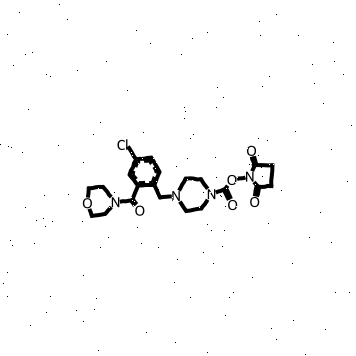 O=C(ON1C(=O)CCC1=O)N1CCN(Cc2ccc(Cl)cc2C(=O)N2CCOCC2)CC1